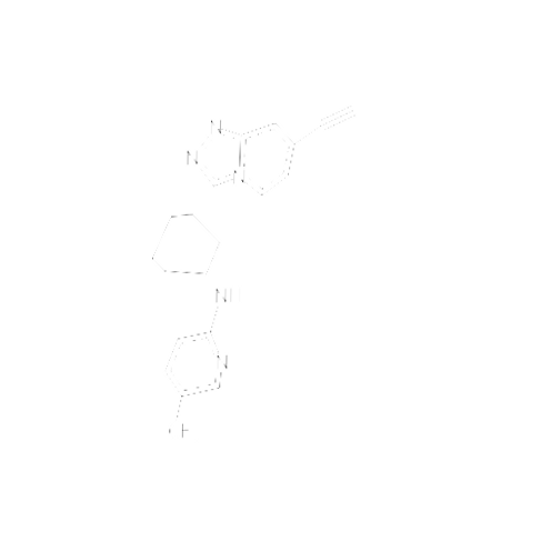 C#Cc1ccn2c([C@H]3CCC[C@@H](Nc4ccc(C(F)(F)F)cn4)C3)nnc2c1